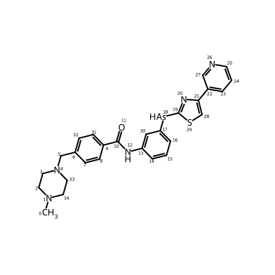 CN1CCN(Cc2ccc(C(=O)Nc3cccc([AsH]c4nc(-c5cccnc5)cs4)c3)cc2)CC1